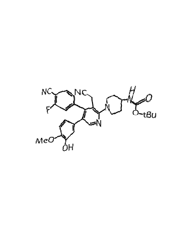 COc1ccc(-c2cnc(N3CCC(NC(=O)OC(C)(C)C)CC3)c(CC#N)c2-c2ccc(C#N)c(F)c2)cc1O